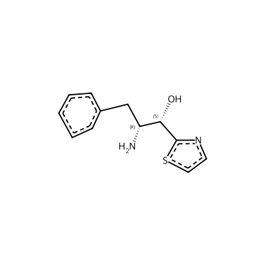 N[C@H](Cc1ccccc1)[C@H](O)c1nccs1